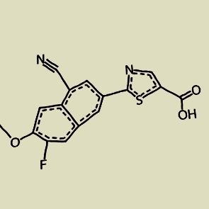 COc1cc2c(C#N)cc(-c3ncc(C(=O)O)s3)cc2cc1F